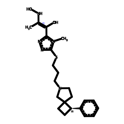 C/C(NO)=C(/O)c1nnc(SCCCN2CCC3(CC[C@H]3c3ccccc3)C2)n1C